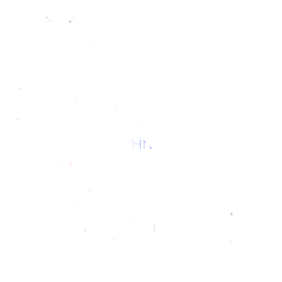 O=Cc1ccccc1Sc1c(Cl)cc(C(F)(F)F)cc1CNC(=O)OCC1c2ccccc2-c2ccccc21